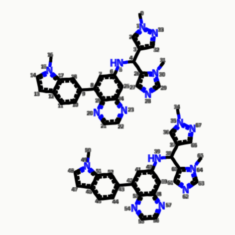 Cn1cc(C(Nc2cc(-c3ccc4ccn(C)c4c3)c3nccnc3c2)c2cncn2C)cn1.Cn1cc(C(Nc2cc(-c3ccc4ccn(C)c4c3)c3nccnc3c2)c2cncn2C)cn1